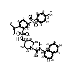 CC(C)c1ccc(S(=O)(=O)c2ccc(F)cc2)cc1S(=O)(=O)NC1CCN(C(=S)Nc2cccc3ccccc23)CC1